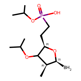 B[C@@H]1O[C@H](CCP(=O)(O)OC(C)C)C(OC(C)C)[C@@H]1C